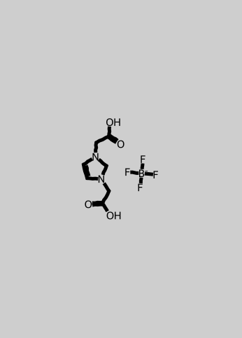 F[B-](F)(F)F.O=C(O)CN1C=CN(CC(=O)O)C1